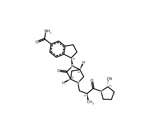 C[C@@H](CN1C[C@@H]2C[C@H]1C(=O)N2[C@@H]1CCc2cc(C(N)=O)ccc21)C(=O)N1CCC[C@H]1C#N